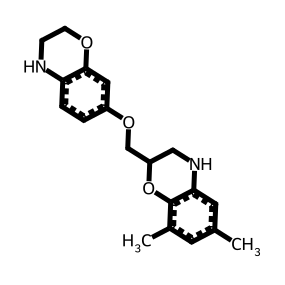 Cc1cc(C)c2c(c1)NCC(COc1ccc3c(c1)OCCN3)O2